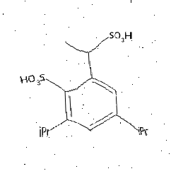 CC(C)c1cc(C(C)C)c(S(=O)(=O)O)c(C(C)S(=O)(=O)O)c1